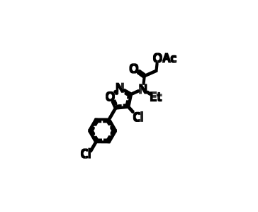 CCN(C(=O)COC(C)=O)c1noc(-c2ccc(Cl)cc2)c1Cl